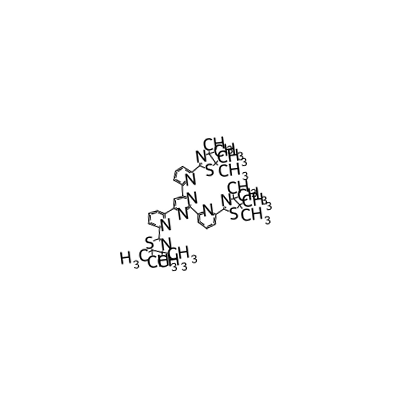 CC1(C)N=C(c2cccc(-c3cc(-c4cccc(C5=NC(C)(C)C(C)(C)S5)n4)nc(-c4cccc(C5=NC(C)(C)C(C)(C)S5)n4)n3)n2)SC1(C)C